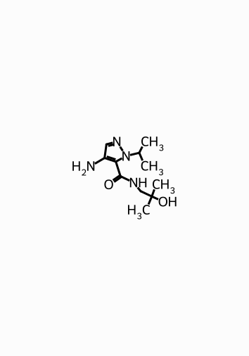 CC(C)n1ncc(N)c1C(=O)NCC(C)(C)O